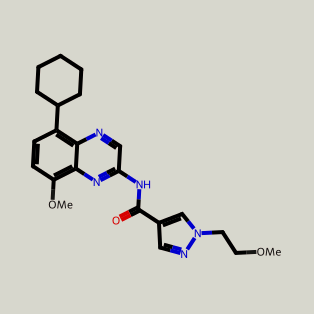 COCCn1cc(C(=O)Nc2cnc3c(C4CCCCC4)ccc(OC)c3n2)cn1